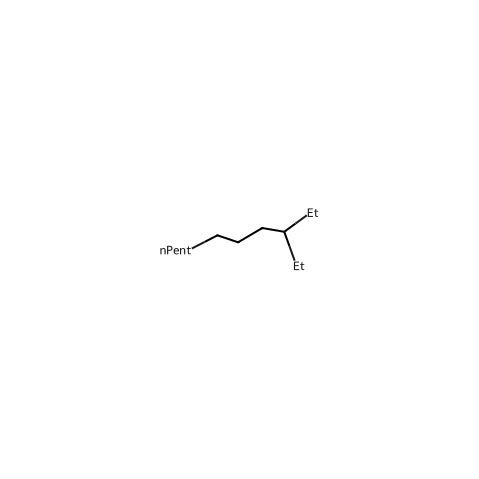 CCCCCCCCC(CC)CC